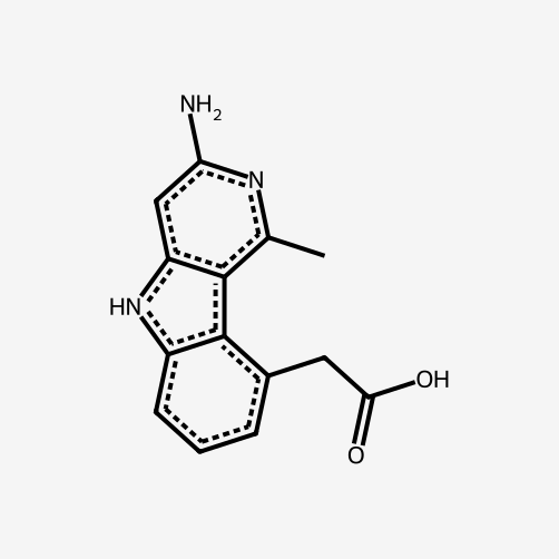 Cc1nc(N)cc2[nH]c3cccc(CC(=O)O)c3c12